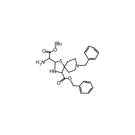 CC(C)(C)OC(=O)C(N)C1NC(C(=O)OCc2ccccc2)C2(CCN(Cc3ccccc3)CC2)S1